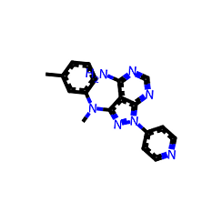 Cc1cccc(N(C)c2nn(-c3ccncc3)c3ncnc(N)c23)c1